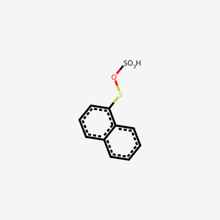 O=S(=O)(O)OSc1cccc2ccccc12